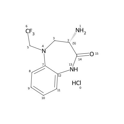 Cl.N[C@H]1CN(CC(F)(F)F)c2ccccc2NC1=O